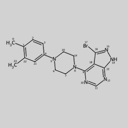 Cc1ccc(N2CCN(c3ncnc4[nH]nc(Br)c34)CC2)cc1C